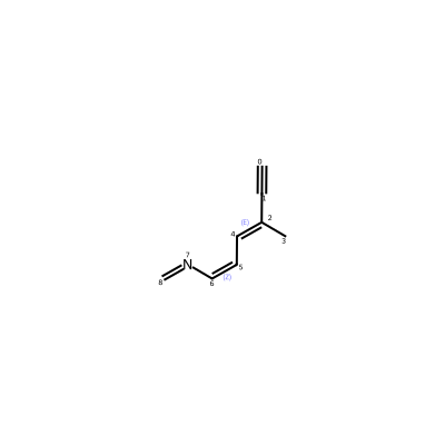 C#C/C(C)=C/C=C\N=C